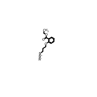 CCOC(=O)c1ccccc1OCCCN=[N+]=[N-]